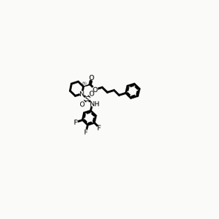 O=C(OCCCCc1ccccc1)[C@@H]1CCCCN1S(=O)(=O)Nc1cc(F)c(F)c(F)c1